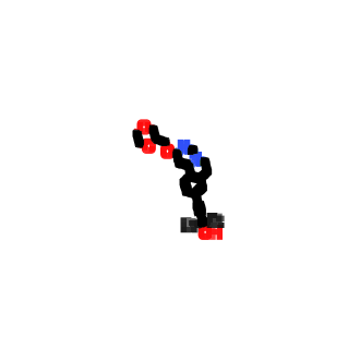 CCC(O)(C#Cc1ccc2c(c1)CCN1C=NC(OCC3COCCO3)C=C21)CC